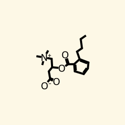 CCCCc1ccccc1C(=O)OC(CC(=O)[O-])C[N+](C)(C)C